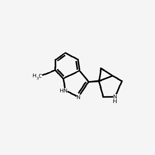 Cc1cccc2c(C34CNCC3C4)n[nH]c12